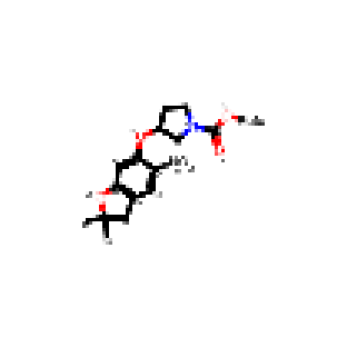 CC(C)(C)OC(=O)N1CCC(Oc2cc3c(cc2[N+](=O)[O-])CC(C)(C)O3)C1